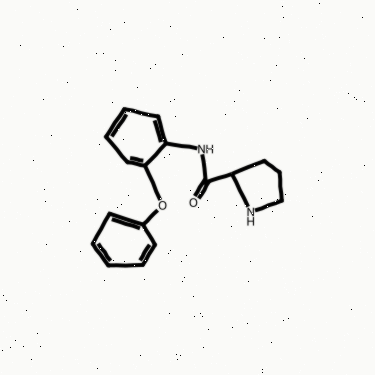 O=C(Nc1ccccc1Oc1ccccc1)C1CCCN1